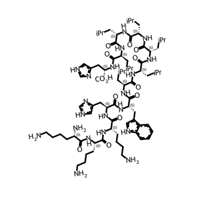 CC(C)C[C@H](NC(=O)[C@H](CC(C)C)NC(=O)[C@H](CC(C)C)NC(=O)[C@H](CC(C)C)NC(=O)[C@H](CC(C)C)NC(=O)[C@H](CC(C)C)NC(=O)[C@H](Cc1c[nH]c2ccccc12)NC(=O)[C@H](Cc1c[nH]cn1)NC(=O)[C@H](CCCCN)NC(=O)[C@H](CCCCN)NC(=O)[C@@H](N)CCCCN)C(=O)N[C@@H](Cc1c[nH]cn1)C(=O)O